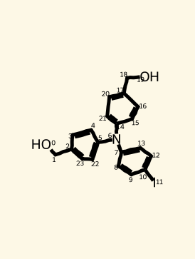 OCc1ccc(N(c2ccc(I)cc2)c2ccc(CO)cc2)cc1